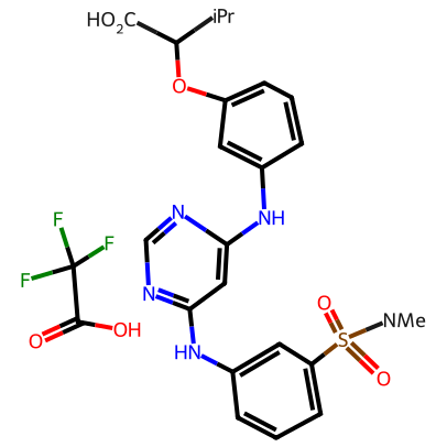 CNS(=O)(=O)c1cccc(Nc2cc(Nc3cccc(OC(C(=O)O)C(C)C)c3)ncn2)c1.O=C(O)C(F)(F)F